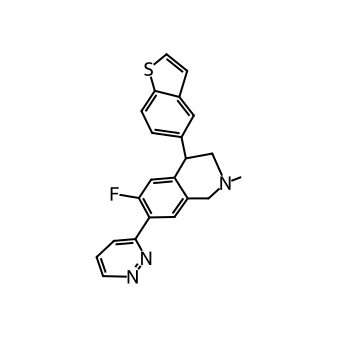 CN1Cc2cc(-c3cccnn3)c(F)cc2C(c2ccc3sccc3c2)C1